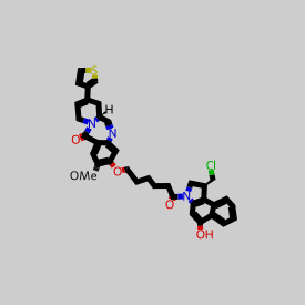 COc1cc2c(cc1OCCCCCC(=O)N1C[C@@H](CCl)c3c1cc(O)c1ccccc31)N=C[C@@H]1CC(c3ccsc3)=CCN1C2=O